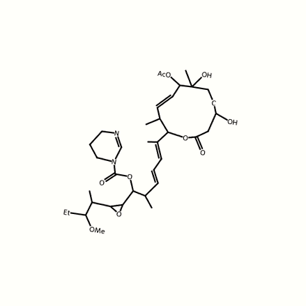 CCC(OC)C(C)C1OC1C(OC(=O)N1C=NCCC1)C(C)/C=C/C=C(\C)C1OC(=O)CC(O)CCC(C)(O)C(OC(C)=O)/C=C/C1C